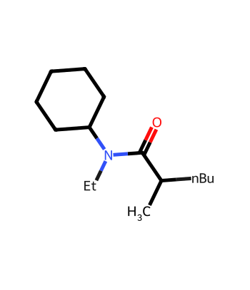 CCCCC(C)C(=O)N(CC)C1CCCCC1